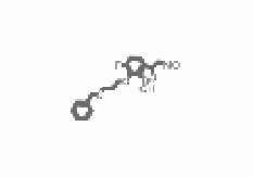 O=NCC1OB(O)c2c1ccc(F)c2OCCCOCc1ccccc1